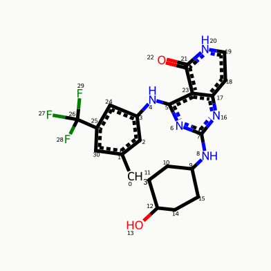 Cc1cc(Nc2nc(NC3CCC(O)CC3)nc3cc[nH]c(=O)c23)cc(C(F)(F)F)c1